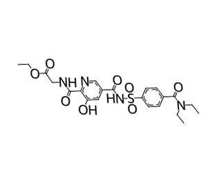 CCOC(=O)CNC(=O)c1ncc(C(=O)NS(=O)(=O)c2ccc(C(=O)N(CC)CC)cc2)cc1O